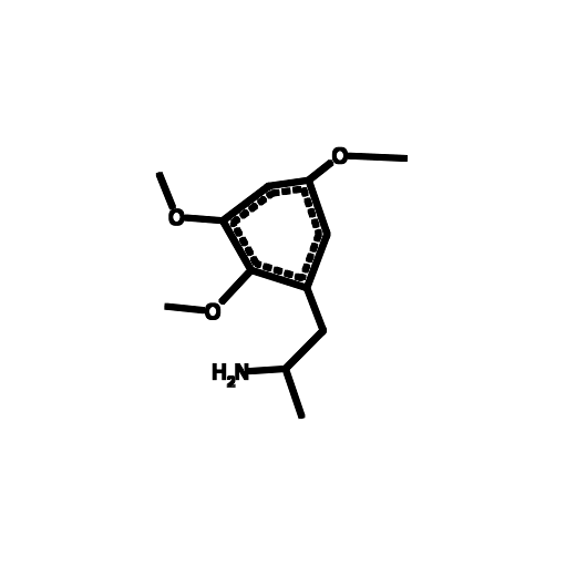 COc1cc(CC(C)N)c(OC)c(OC)c1